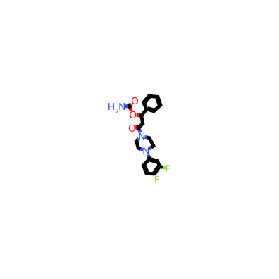 NC(=O)OC(CC(=O)N1CCN(c2ccc(F)c(F)c2)CC1)c1ccccc1